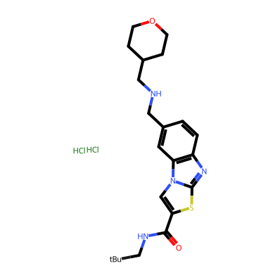 CC(C)(C)CNC(=O)c1cn2c(nc3ccc(CNCC4CCOCC4)cc32)s1.Cl.Cl